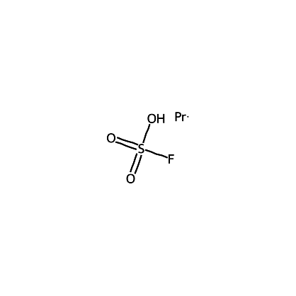 O=S(=O)(O)F.[Pr]